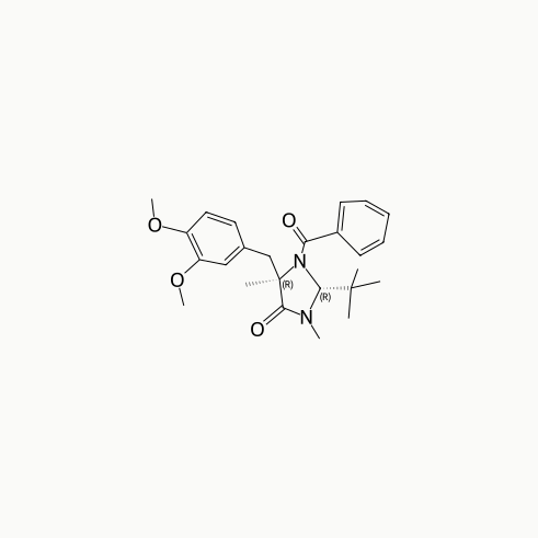 COc1ccc(C[C@]2(C)C(=O)N(C)[C@@H](C(C)(C)C)N2C(=O)c2ccccc2)cc1OC